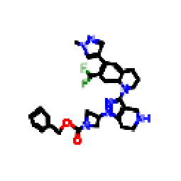 Cn1cc(-c2cc3c(cc2C(F)F)N(c2nn(C4CN(C(=O)OCc5ccccc5)C4)c4c2CNCC4)CCC3)cn1